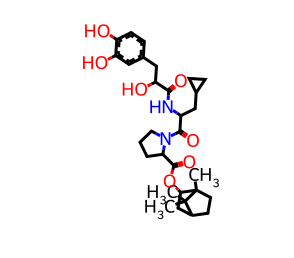 CC1(C)C2CCC1(C)C(OC(=O)C1CCCN1C(=O)C(CC1CC1)NC(=O)C(O)Cc1ccc(O)c(O)c1)C2